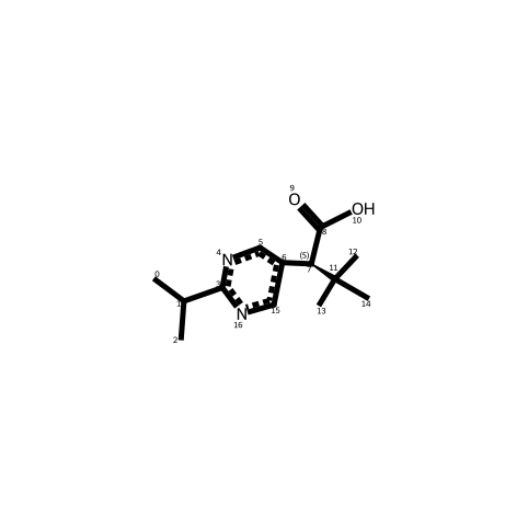 CC(C)c1ncc([C@@H](C(=O)O)C(C)(C)C)cn1